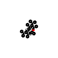 c1ccc(N(c2ccccc2)c2cc3c4c(c2)N(c2ccccc2)c2oc5c(ccc6ccccc65)c2B4c2cc4c(cc2O3)N(c2ccccc2)c2cc(N(c3ccccc3)c3ccccc3)cc3c2B4c2ccccc2N3c2ccccc2)cc1